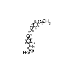 CCOc1ccc(OCCCOc2ccc3c(c2)CC[C@H]3CC(=O)O)cc1